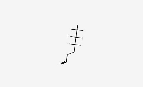 O=CCCC(F)(F)C(F)(F)C(F)(F)F